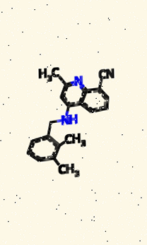 Cc1cc(NCc2cccc(C)c2C)c2cccc(C#N)c2n1